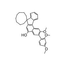 COc1ccc(-c2cc3c(O)cc4c(c3cc2OC)-c2ccccc2C42CCCCCCCC2)c(OC)c1